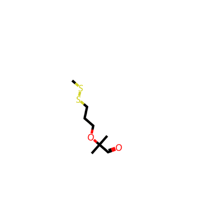 CSSCCCOC(C)(C)C=O